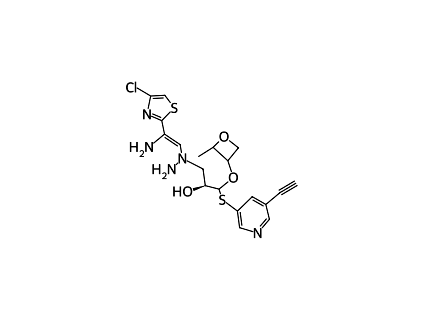 C#Cc1cncc(SC(OC2COC2C)[C@@H](O)CN(N)/C=C(\N)c2nc(Cl)cs2)c1